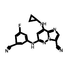 N#Cc1cc(F)cc(Nc2cc(NC3CC3)c3ncc(C#N)n3n2)c1